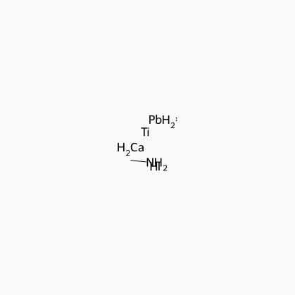 CN.I.[CaH2].[PbH2].[Ti]